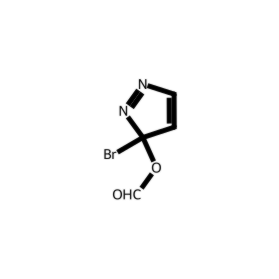 O=COC1(Br)C=CN=N1